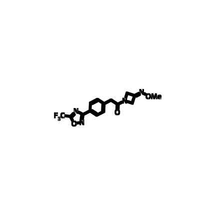 CON=C1CN(C(=O)Cc2ccc(-c3noc(C(F)(F)F)n3)cc2)C1